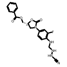 N#CNNCNc1ccc(N2C[C@H](COC(=O)c3ccccc3)OC2=O)cc1F